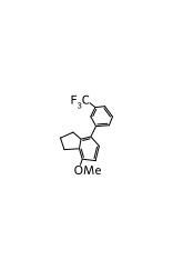 COc1ccc(-c2cccc(C(F)(F)F)c2)c2c1CCC2